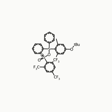 Cc1cc(OC(C)(C)C)cc(C)c1S(OS(=O)(=O)c1c(C(F)(F)F)cc(C(F)(F)F)cc1C(F)(F)F)(c1ccccc1)c1ccccc1